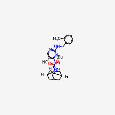 Cc1ccccc1CNc1ncc(C#N)c(NC[C@]23CC4C[C@H](C2)[C@@H](NC(=O)OC(C)(C)C)[C@@H](C4)C3)n1